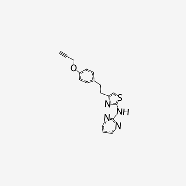 C#CCOc1ccc(CCc2csc(Nc3ncccn3)n2)cc1